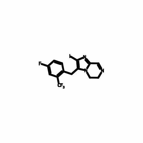 Fc1ccc(Cc2c(I)nc3n2CCN=C3)c(C(F)(F)F)c1